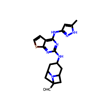 Cc1cc(Nc2nc(NC3CC4CC5(C=O)CC(C3)N45)nc3sccc23)n[nH]1